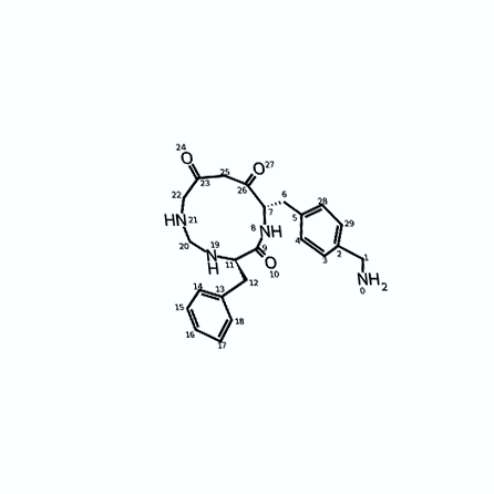 NCc1ccc(C[C@@H]2NC(=O)[C@@H](Cc3ccccc3)NCNCC(=O)CC2=O)cc1